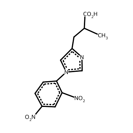 CC(Cc1cn(-c2ccc([N+](=O)[O-])cc2[N+](=O)[O-])cn1)C(=O)O